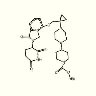 CC(C)(C)OC(=O)N1CCC(N2CCN(C3(COc4cccc5c4CN(C4CCC(=O)NC4=O)C5=O)CC3)CC2)CC1